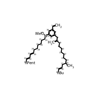 C=Cc1cc(CC(=C)CCCCCCCC(C)C/C=C/CCCC)cc(N(CCCCCC/C=C/C=C/CCCCC)OC)c1